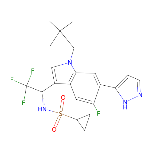 CC(C)(C)Cn1cc([C@H](NS(=O)(=O)C2CC2)C(F)(F)F)c2cc(F)c(-c3ccn[nH]3)cc21